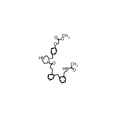 COC(=O)COc1ccc(C[C@@H]2CNCCN2C(=O)CCc2ccccc2Cc2ccccc2CCNC(C)=O)cc1